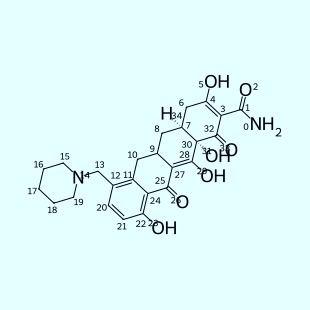 NC(=O)C1=C(O)C[C@@H]2CC3Cc4c(CN5CCCCC5)ccc(O)c4C(=O)C3=C(O)[C@]2(O)C1=O